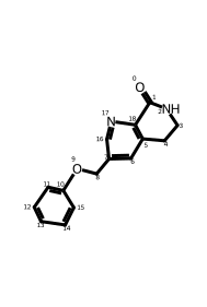 O=C1NCCc2cc(COc3ccccc3)cnc21